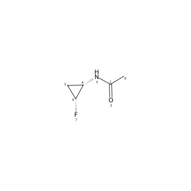 CC(=O)N[C@H]1C[C@H]1F